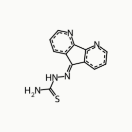 NC(=S)NN=C1c2cccnc2-c2ncccc21